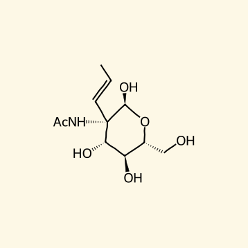 CC=C[C@@]1(NC(C)=O)[C@@H](O)O[C@H](CO)[C@@H](O)[C@@H]1O